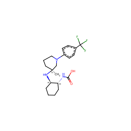 C[C@]1(N[C@@H]2CCCC[C@H]2NC(=O)O)CCCN(c2ccc(C(F)(F)F)cc2)C1